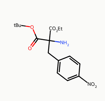 CCOC(=O)C(N)(Cc1ccc([N+](=O)[O-])cc1)C(=O)OC(C)(C)C